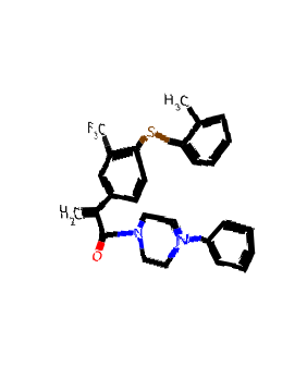 C=C(C(=O)N1CCN(c2ccccc2)CC1)c1ccc(Sc2ccccc2C)c(C(F)(F)F)c1